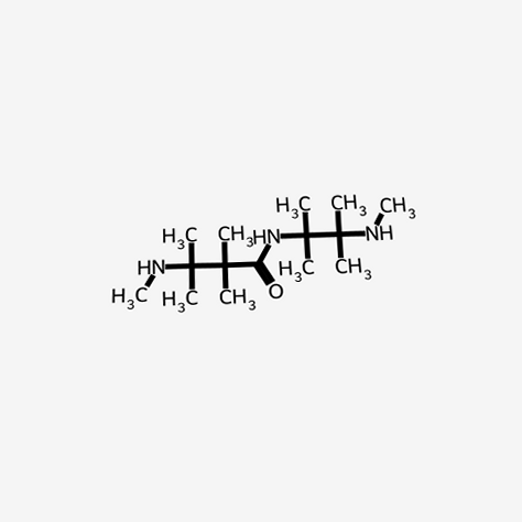 CNC(C)(C)C(C)(C)NC(=O)C(C)(C)C(C)(C)NC